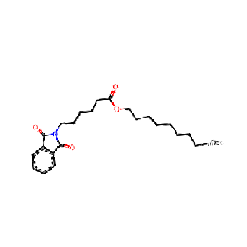 CCCCCCCCCCCCCCCCCCOC(=O)CCCCCN1C(=O)c2ccccc2C1=O